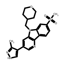 Cc1n[nH]cc1-c1cnc2c3ccc(S(C)(=O)=O)cc3n(CC3CCOCC3)c2c1